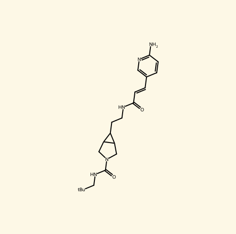 CC(C)(C)CNC(=O)N1CC2C(CCNC(=O)/C=C/c3ccc(N)nc3)C2C1